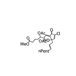 CCCCCC=CCC1(O)C=C(Cl)C(=O)C1=CC(OC(C)=O)C(CCCC(=O)OC)OC(C)=O